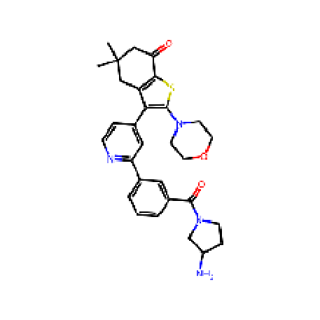 CC1(C)CC(=O)c2sc(N3CCOCC3)c(-c3ccnc(-c4cccc(C(=O)N5CCC(N)C5)c4)c3)c2C1